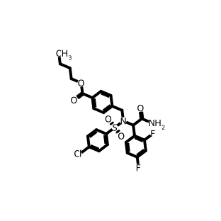 CCCCOC(=O)c1ccc(CN(C(C(N)=O)c2ccc(F)cc2F)S(=O)(=O)c2ccc(Cl)cc2)cc1